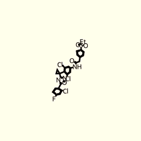 CCS(=O)(=O)c1ccc(CC(=O)Nc2cc(Cl)c(C3(c4noc(-c5ccc(F)cc5Cl)n4)CC3)c(Cl)c2)cc1